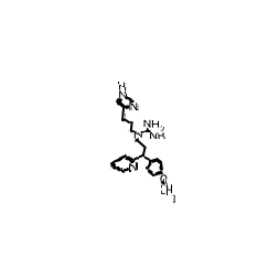 COc1ccc(C(CCN(CCCc2c[nH]cn2)C(=N)N)c2ccccn2)cc1